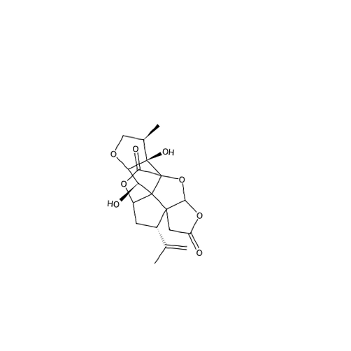 C=C(C)[C@@H]1CC2OC(=O)C34OC5OC(=O)CC51C23[C@@H](O)C1OC[C@@H](C)[C@@]14O